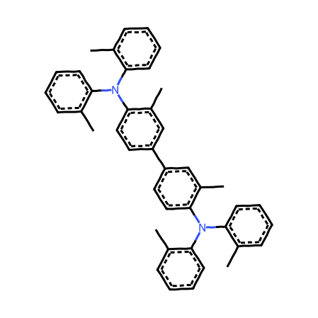 Cc1ccccc1N(c1ccccc1C)c1ccc(-c2ccc(N(c3ccccc3C)c3ccccc3C)c(C)c2)cc1C